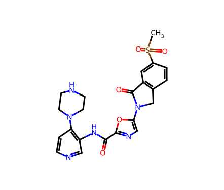 CS(=O)(=O)c1ccc2c(c1)C(=O)N(c1cnc(C(=O)Nc3cnccc3N3CCNCC3)o1)C2